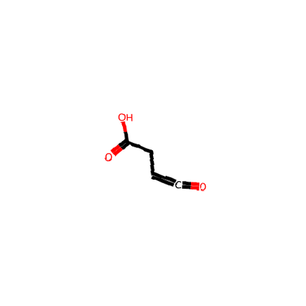 O=C=CCC(=O)O